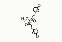 CC([S+]([O-])CCC1CCC(=O)O1)[S+]([O-])CCC1CCC(=O)O1